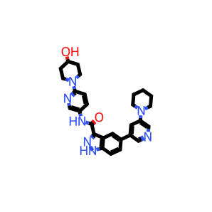 O=C(Nc1ccc(N2CCC(O)CC2)nc1)c1n[nH]c2ccc(-c3cncc(N4CCCCC4)c3)cc12